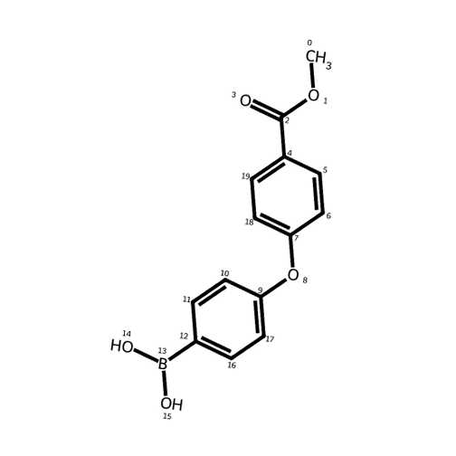 COC(=O)c1ccc(Oc2ccc(B(O)O)cc2)cc1